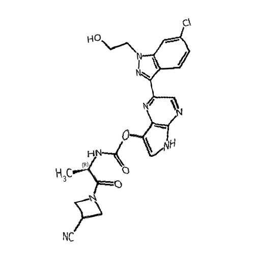 C[C@@H](NC(=O)Oc1c[nH]c2ncc(-c3nn(CCO)c4cc(Cl)ccc34)nc12)C(=O)N1CC(C#N)C1